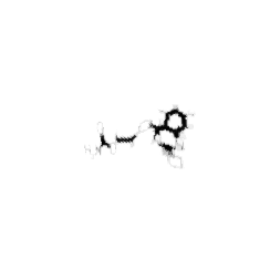 NC(=O)OCCOc1nc(Cl)nc2ccccc12